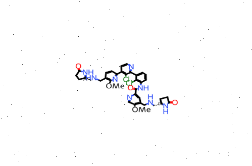 COc1cnc(C(=O)Nc2cccc(-c3nccc(-c4ccc(CNC[C@H]5CCC(=O)N5)c(OC)n4)c3Cl)c2Cl)cc1CNC[C@@H]1CCC(=O)N1